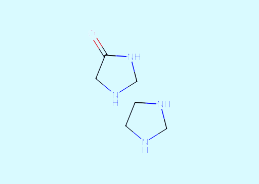 C1CNCN1.O=C1CNCN1